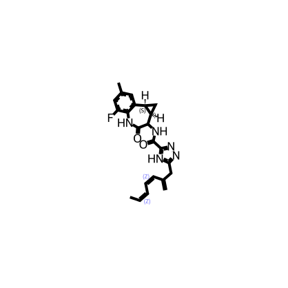 C=C(/C=C\C=C/C)Cc1nnc(C(=O)NC2C(=O)Nc3c(F)cc(C)cc3[C@H]3C[C@@H]23)[nH]1